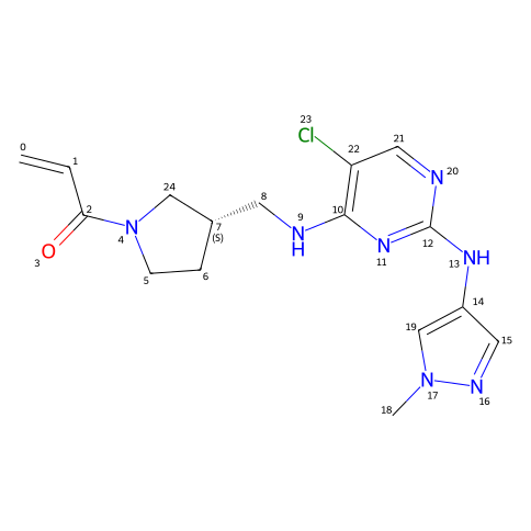 C=CC(=O)N1CC[C@@H](CNc2nc(Nc3cnn(C)c3)ncc2Cl)C1